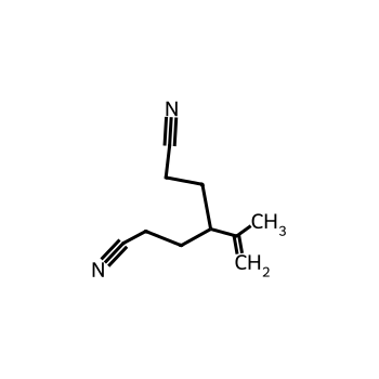 C=C(C)C(CCC#N)CCC#N